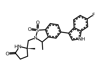 CC1c2cc(-c3c[nH]c4cc(F)ccc34)ccc2S(=O)(=O)N1C[C@]1(C)CCC(=O)N1